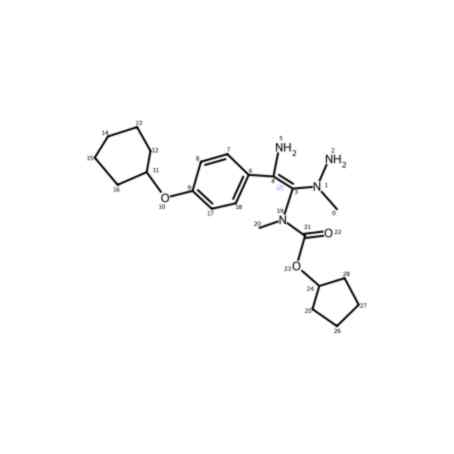 CN(N)/C(=C(\N)c1ccc(OC2CCCCC2)cc1)N(C)C(=O)OC1CCCC1